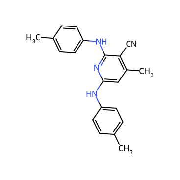 Cc1ccc(Nc2cc(C)c(C#N)c(Nc3ccc(C)cc3)n2)cc1